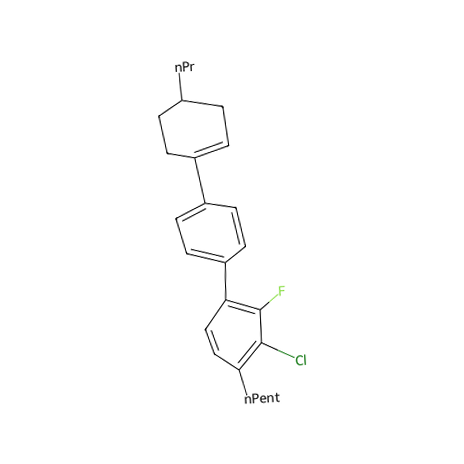 CCCCCc1ccc(-c2ccc(C3=CCC(CCC)CC3)cc2)c(F)c1Cl